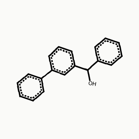 OC(c1ccccc1)c1cccc(-c2ccccc2)c1